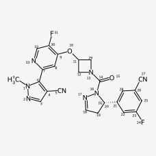 Cn1ncc(C#N)c1-c1cc(OC2CN(C(=O)N3N=CC[C@H]3c3cc(F)cc(C#N)c3)C2)c(F)cn1